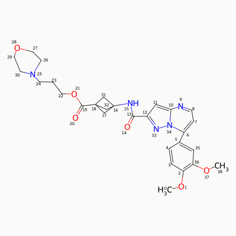 COc1ccc(-c2ccnc3cc(C(=O)NC45CC(C(=O)OCCCN6CCOCC6)(C4)C5)nn23)cc1OC